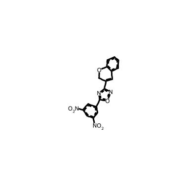 O=[N+]([O-])c1cc(-c2nc(C3=Cc4ccccc4OC3)no2)cc([N+](=O)[O-])c1